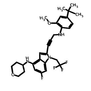 COc1cc(C(C)(C)C)ccc1NCC#Cc1cc2c(NC3CCOCC3)cc(F)cc2n1CC(F)(F)F